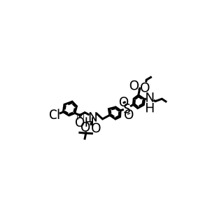 CCCNc1ccc(S(=O)(=O)c2ccc(CCN(C[C@H](O)c3cccc(Cl)c3)C(=O)OC(C)(C)C)cc2)cc1C(=O)OCC